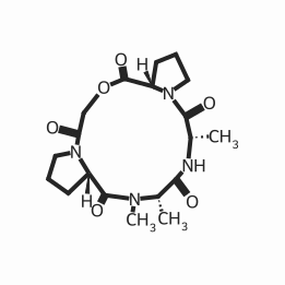 C[C@@H]1NC(=O)[C@H](C)N(C)C(=O)[C@@H]2CCCN2C(=O)COC(=O)[C@@H]2CCCN2C1=O